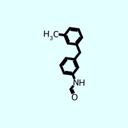 Cc1cccc(Cc2cccc(NC=O)c2)c1